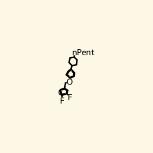 CCCCCC1CCC(c2ccc(OCc3ccc(F)c(F)c3)cc2)CC1